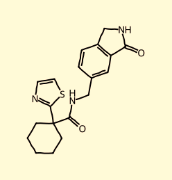 O=C1NCc2ccc(CNC(=O)C3(c4nccs4)CCCCC3)cc21